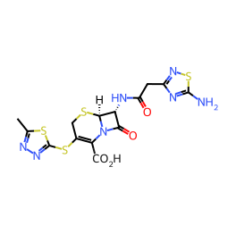 Cc1nnc(SC2=C(C(=O)O)N3C(=O)[C@@H](NC(=O)Cc4nsc(N)n4)[C@@H]3SC2)s1